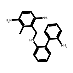 Cc1c(N)ccc(N)c1CNc1ccccc1-c1ccccc1N